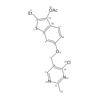 CCc1sc2cc(OCc3cnc(C)nc3Cl)ccc2c1OC(C)=O